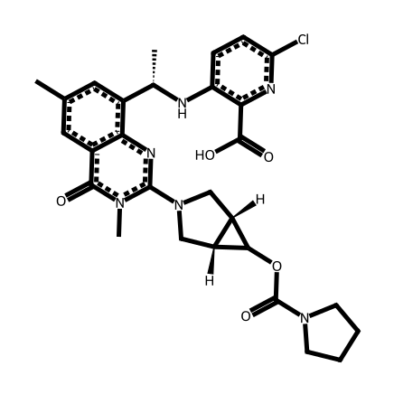 Cc1cc([C@H](C)Nc2ccc(Cl)nc2C(=O)O)c2nc(N3C[C@@H]4C(OC(=O)N5CCCC5)[C@@H]4C3)n(C)c(=O)c2c1